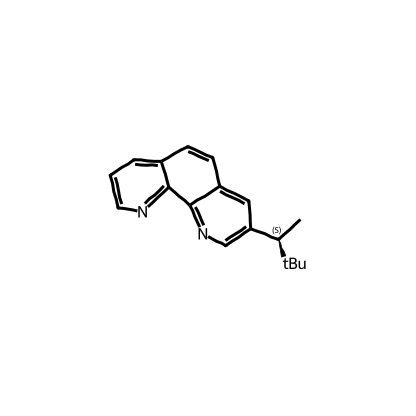 C[C@H](c1cnc2c(ccc3cccnc32)c1)C(C)(C)C